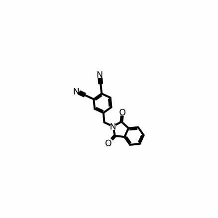 N#Cc1ccc(CN2C(=O)c3ccccc3C2=O)cc1C#N